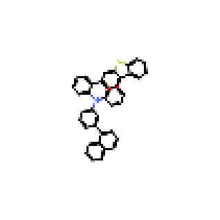 c1ccc(N(c2cccc(-c3cccc4ccccc34)c2)c2ccccc2-c2ccc3c(c2)sc2ccccc23)cc1